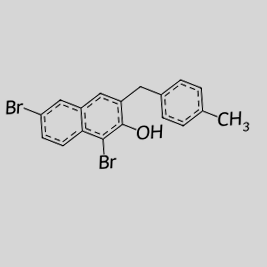 Cc1ccc(Cc2cc3cc(Br)ccc3c(Br)c2O)cc1